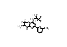 C=C(Nc1nc(NC(C)C(F)(F)F)nc(-c2cccc(C)n2)n1)C(F)(F)F